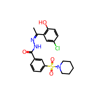 C/C(=N/NC(=O)c1cccc(S(=O)(=O)N2CCCCC2)c1)c1cc(Cl)ccc1O